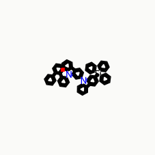 c1ccc(-c2ccccc2-c2ccccc2-n2c3ccccc3c3ccc(-n4c5ccccc5c5ccc([Si](c6ccccc6)(c6ccccc6)c6ccccc6)cc54)cc32)cc1